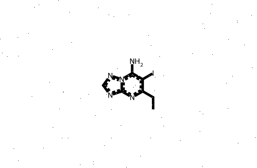 CCc1nc2ncnn2c(N)c1I